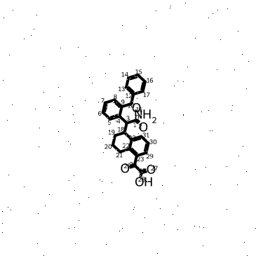 NC(=O)C(c1ccccc1C(=O)c1ccccc1)C1CCCc2c(C(=O)C(=O)O)cccc21